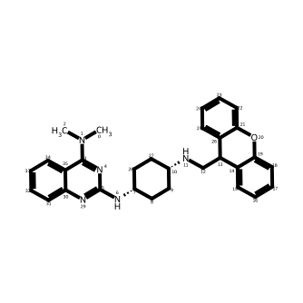 CN(C)c1nc(N[C@H]2CC[C@@H](NCC3c4ccccc4Oc4ccccc43)CC2)nc2ccccc12